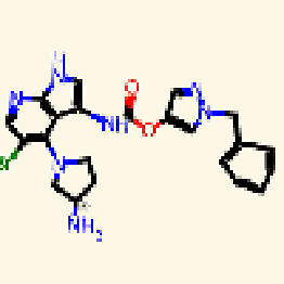 N[C@@H]1CCN(c2c(Br)cnc3[nH]cc(NC(=O)Oc4cnn(Cc5ccccc5)c4)c23)C1